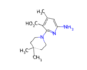 Cc1cc(N)nc(N2CCC(C)(C)CC2)c1C(=O)O